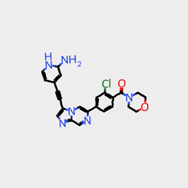 NC1C=C(C#Cc2cnc3cnc(-c4ccc(C(=O)N5CCOCC5)c(Cl)c4)cn23)C=CN1